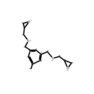 Cc1cc(COCC2CO2)cc(COCC2CO2)c1